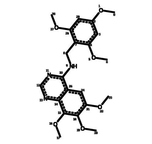 COc1cc(OC)c(CNc2ncnc3c(OC)c(OC)c(OC)cc23)c(OC)c1